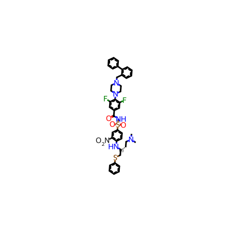 CN(C)CC[C@H](CSc1ccccc1)Nc1ccc(S(=O)(=O)NC(=O)c2cc(F)c(N3CCN(Cc4ccccc4-c4ccccc4)CC3)c(F)c2)cc1[N+](=O)[O-]